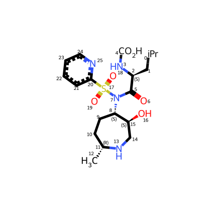 CC(C)C[C@H](NC(=O)O)C(=O)N([C@H]1CC[C@@H](C)NC[C@@H]1O)S(=O)(=O)c1ccccn1